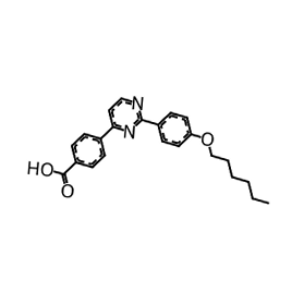 CCCCCCOc1ccc(-c2nccc(-c3ccc(C(=O)O)cc3)n2)cc1